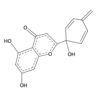 C=C1C=CC(O)(c2cc(=O)c3c(O)cc(O)cc3o2)C=C1